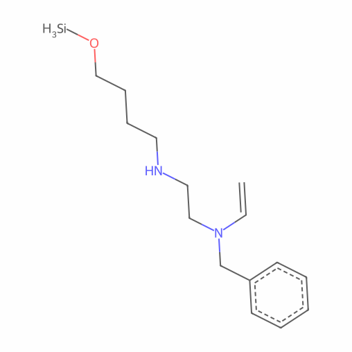 C=CN(CCNCCCCO[SiH3])Cc1ccccc1